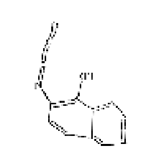 C=C=C=Nc1ccc2ccccc2c1O